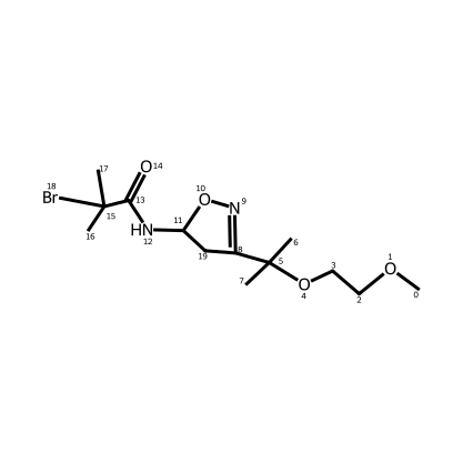 COCCOC(C)(C)C1=NOC(NC(=O)C(C)(C)Br)C1